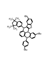 CC(C)(C)c1ccc(N2c3ccc(C(C)(C)C)cc3B3c4sc5ccc(C(C)(C)C)cc5c4N(c4ccc5c(c4)C(C)(C)CC5(C)C)c4cccc2c43)cc1